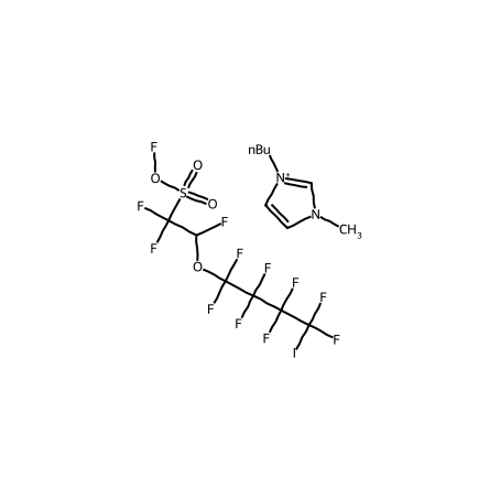 CCCC[n+]1ccn(C)c1.O=S(=O)(OF)C(F)(F)C(F)OC(F)(F)C(F)(F)C(F)(F)C(F)(F)I